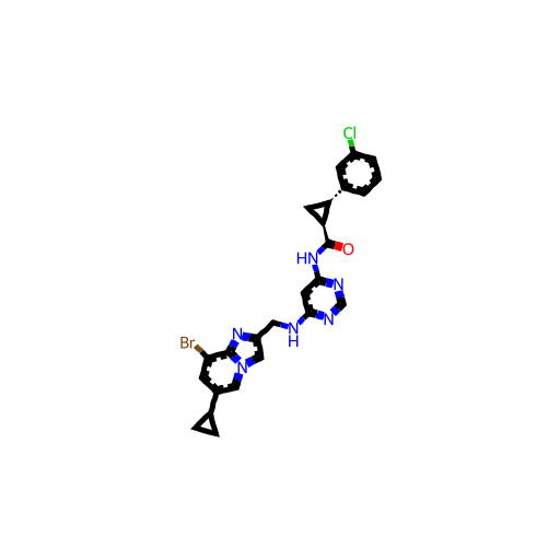 O=C(Nc1cc(NCc2cn3cc(C4CC4)cc(Br)c3n2)ncn1)[C@H]1C[C@@H]1c1cccc(Cl)c1